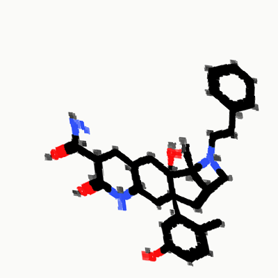 Cc1ccc(O)cc1[C@@]12CC3=C(CC(C(N)=O)C(=O)N3)C[C@@]1(O)[C@H]1C(CN1CCc1ccccc1)C2